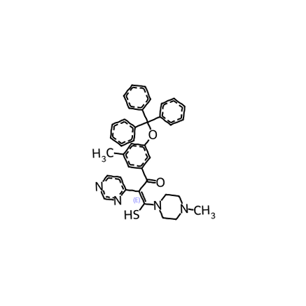 Cc1cc(OC(c2ccccc2)(c2ccccc2)c2ccccc2)cc(C(=O)/C(=C(/S)N2CCN(C)CC2)c2ccncn2)c1